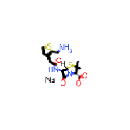 CC1(C)S[C@@H]2[C@H](NC(=O)Cc3ccsc3CN)C(=O)N2[C@H]1C(=O)[O-].[Na+]